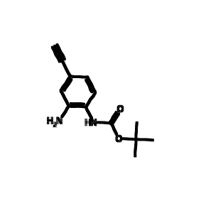 C#Cc1ccc(NC(=O)OC(C)(C)C)c(N)c1